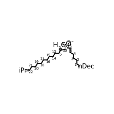 CCCCCCCCCCCCCCCC[N+](C)([O-])CCCCCCCCCCCCCC(C)C